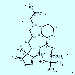 CC(C)(C)[Si](C)(C)OC(CCC1=CCC(=O)[C@]1(C)CCCCCCC(=O)O)C1CCCCC1